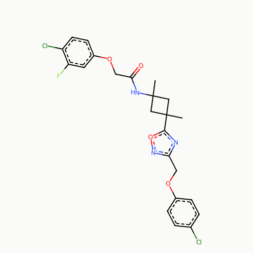 CC1(NC(=O)COc2ccc(Cl)c(F)c2)CC(C)(c2nc(COc3ccc(Cl)cc3)no2)C1